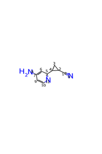 N#CC1CC1c1cc(N)ccn1